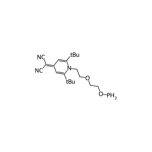 CC(C)(C)C1=CC(=C(C#N)C#N)C=C(C(C)(C)C)N1CCOCCOP